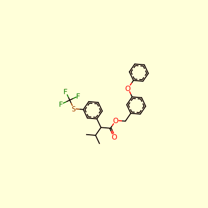 CC(C)C(C(=O)OCc1cccc(Oc2ccccc2)c1)c1cccc(SC(F)(F)F)c1